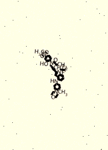 CC(C)C(=O)N(CC#Cc1cc2c(NC3CCC(C)(N4CCOCC4)CC3)cccc2n1CC(F)(F)F)c1ccc(S(C)(=O)=O)cc1O